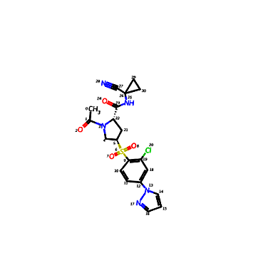 CC(=O)N1C[C@H](S(=O)(=O)c2ccc(-n3cccn3)cc2Cl)C[C@H]1C(=O)NC1(C#N)CC1